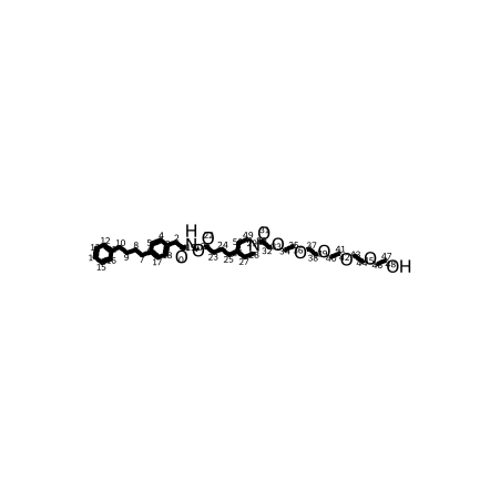 O=C(Cc1ccc(CCCCc2ccccc2)cc1)NOC(=O)CCCC1CCN(C(=O)COCCOCCOCCOCCOCCO)CC1